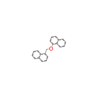 c1ccc2c(COc3cccc4ccccc34)cccc2c1